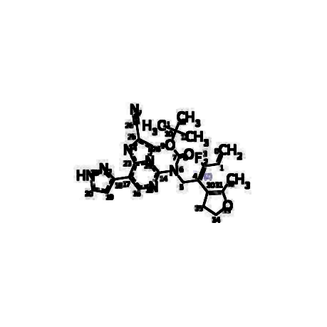 C=C/C(F)=C(/CN(C(=O)OC(C)(C)C)c1ncc(-c2cc[nH]n2)c2nc(C#N)cn12)C1=C(C)OCC1